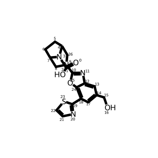 O=C(O)N1C2CCC1CN(c1nc3cc(CO)cc(-c4nccs4)c3o1)C2